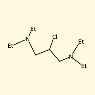 CCN(CC)CC(Cl)CN(CC)CC